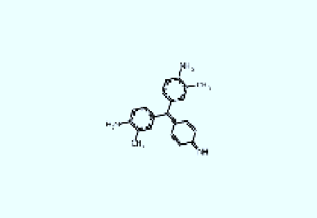 Cc1cc(C(=C2C=CC(=N)C=C2)c2ccc(N)c(C)c2)ccc1N